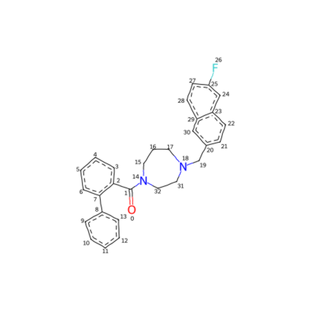 O=C(c1ccccc1-c1ccccc1)N1CCCN(Cc2ccc3cc(F)ccc3c2)CC1